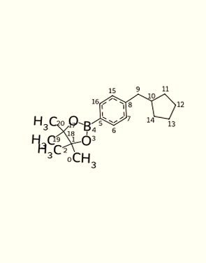 CC1(C)OB(c2ccc(CC3CCCC3)cc2)OC1(C)C